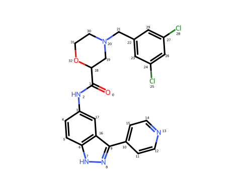 O=C(Nc1ccc2[nH]nc(-c3ccncc3)c2c1)C1CN(Cc2cc(Cl)cc(Cl)c2)CCO1